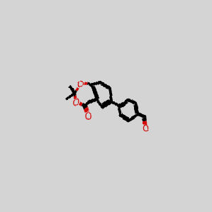 CC1(C)OC(=O)c2cc(-c3ccc(C=O)cc3)ccc2O1